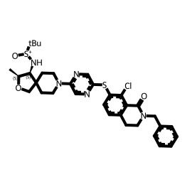 C[C@@H]1OCC2(CCN(c3cnc(Sc4ccc5c(c4Cl)C(=O)N(Cc4ccccc4)CC5)cn3)CC2)[C@@H]1N[S+]([O-])C(C)(C)C